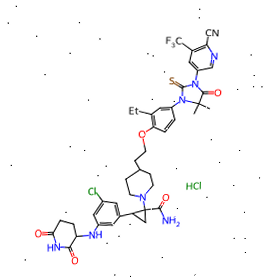 CCc1cc(N2C(=S)N(c3cnc(C#N)c(C(F)(F)F)c3)C(=O)C2(C)C)ccc1OCCC1CCN(C2(C(N)=O)CC2c2cc(Cl)cc(NC3CCC(=O)NC3=O)c2)CC1.Cl